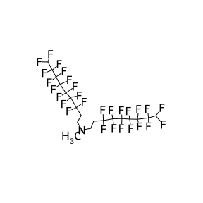 CN(CCC(F)(F)C(F)(F)C(F)(F)C(F)(F)C(F)(F)C(F)(F)C(F)F)CCC(F)(F)C(F)(F)C(F)(F)C(F)(F)C(F)(F)C(F)(F)C(F)F